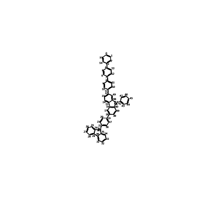 c1ccc(-c2ccc(-c3ccc(-c4ccc5c6cc(-c7ccc(-n8c9ccccc9c9ccccc98)cc7)ccc6n(-c6ccccc6)c5c4)cc3)cc2)cc1